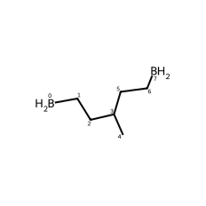 BCCC(C)CCB